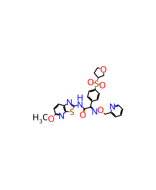 COc1ccc2nc(NC(=O)/C(=N/OCc3ccccn3)c3ccc(S(=O)(=O)[C@H]4CCOC4)cc3)sc2n1